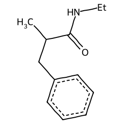 CCNC(=O)C(C)Cc1ccccc1